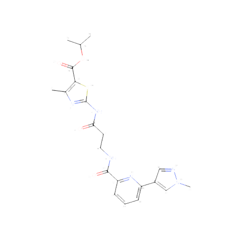 Cc1nc(NC(=O)CCNC(=O)c2cccc(-c3cnn(C)c3)n2)sc1C(=O)OC(C)C